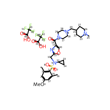 COc1cc(C)c(S(=O)(=O)N(Cc2nc(C(=O)N3CCN(CC4CCN(C)CC4)CC3)co2)C2CC2)c(C)c1.O=C(O)C(F)(F)F.O=C(O)C(F)(F)F